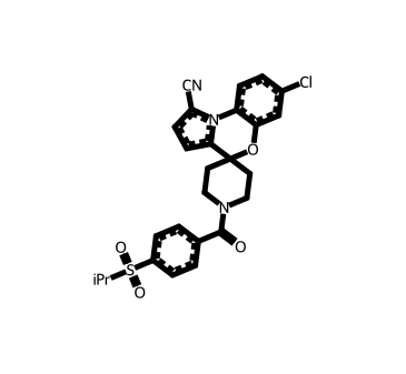 CC(C)S(=O)(=O)c1ccc(C(=O)N2CCC3(CC2)Oc2cc(Cl)ccc2-n2c(C#N)ccc23)cc1